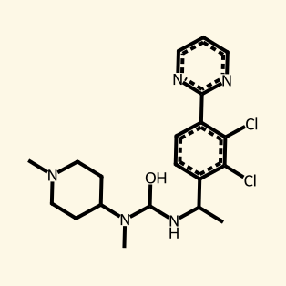 CC(NC(O)N(C)C1CCN(C)CC1)c1ccc(-c2ncccn2)c(Cl)c1Cl